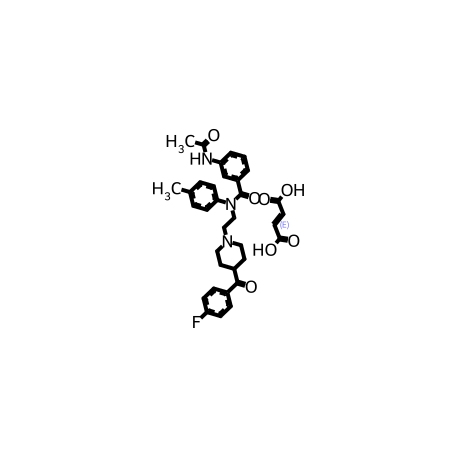 CC(=O)Nc1cccc(C(=O)N(CCN2CCC(C(=O)c3ccc(F)cc3)CC2)c2ccc(C)cc2)c1.O=C(O)/C=C/C(=O)O